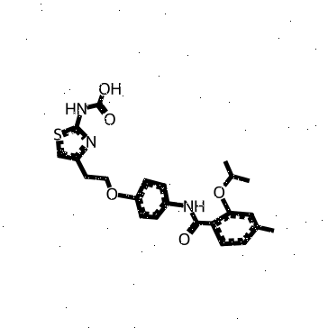 Cc1ccc(C(=O)Nc2ccc(OCCc3csc(NC(=O)O)n3)cc2)c(OC(C)C)c1